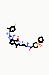 Cc1cc(F)ccc1Nc1nc2ccc3c(C)c(C=CCNC(=O)C4CCP(=O)(c5ccccc5)CC4)[nH]c(=O)c3c2n1C